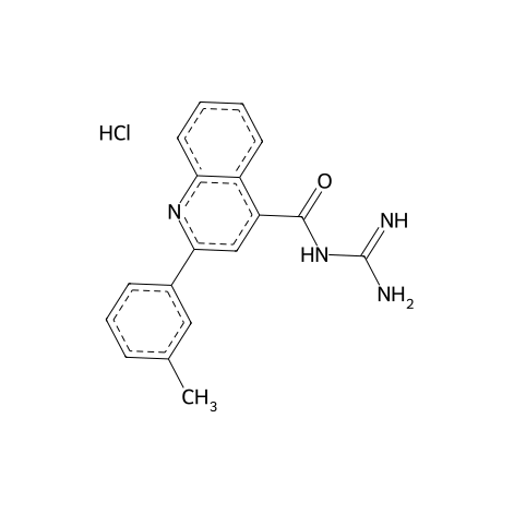 Cc1cccc(-c2cc(C(=O)NC(=N)N)c3ccccc3n2)c1.Cl